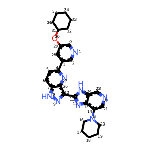 c1ncc(-c2ccc3[nH]nc(-c4nc5c(N6CCCCC6)cncc5[nH]4)c3n2)cc1OC1CCCCC1